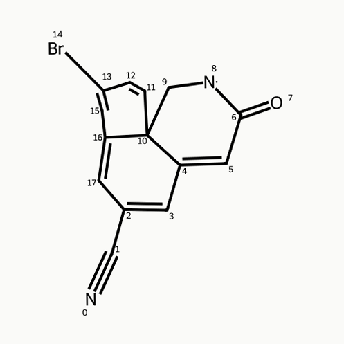 N#CC1=CC2=CC(=O)[N]CC23C=CC(Br)=CC3=C1